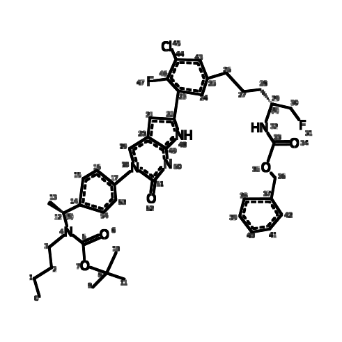 CCCCN(C(=O)OC(C)(C)C)[C@@H](C)c1ccc(-n2cc3cc(-c4cc(CCC[C@H](CF)NC(=O)OCc5ccccc5)cc(Cl)c4F)[nH]c3nc2=O)cc1